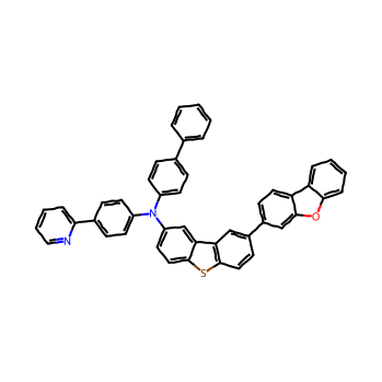 c1ccc(-c2ccc(N(c3ccc(-c4ccccn4)cc3)c3ccc4sc5ccc(-c6ccc7c(c6)oc6ccccc67)cc5c4c3)cc2)cc1